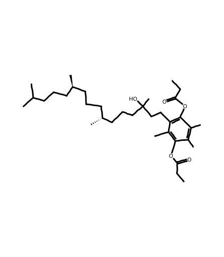 CCC(=O)Oc1c(C)c(C)c(OC(=O)CC)c(CCC(C)(O)CCC[C@H](C)CCC[C@H](C)CCCC(C)C)c1C